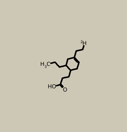 [2H]CCC1=CCC(CCC(=O)O)C(CCC)C1